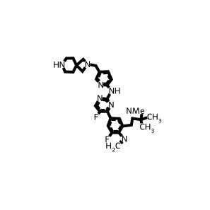 C=Nc1c(F)cc(-c2nc(Nc3ccc(CN4CC5(CCNCC5)C4)cn3)ncc2F)cc1CCC(C)(C)NC